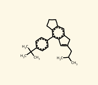 CC(C)CC1=Cc2c(cc3c(c2-c2ccc(C(C)(C)C)cc2)CCC3)C1